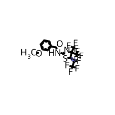 COc1cccc(C(=O)NC2=NC(C(F)(F)F)(C(F)(F)F)/C(=C(\F)C(F)(F)F)S2)c1